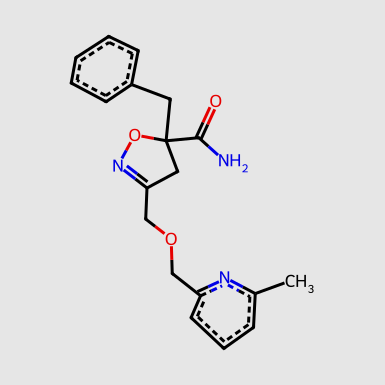 Cc1cccc(COCC2=NOC(Cc3ccccc3)(C(N)=O)C2)n1